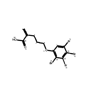 C=C(CCCOc1cc(Br)c(Br)c(Br)c1Br)C(=O)O